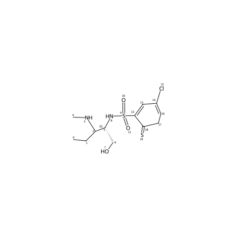 CCC(NC)[C@@H](CO)NS(=O)(=O)C1=CC(Cl)=CCC1=S